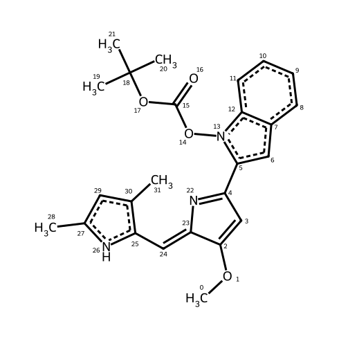 COC1=CC(c2cc3ccccc3n2OC(=O)OC(C)(C)C)=NC1=Cc1[nH]c(C)cc1C